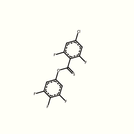 Fc1cc(OC(=S)c2c(F)cc(Cl)cc2F)cc(F)c1F